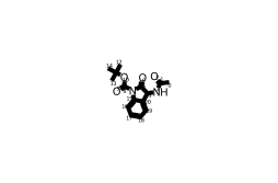 CC(=O)NC1C(=O)N(C(=O)OC(C)(C)C)c2ccccc21